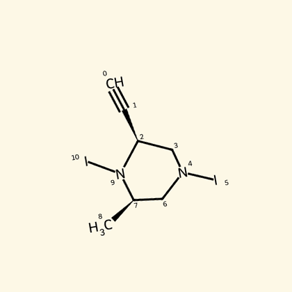 C#C[C@H]1CN(I)C[C@@H](C)N1I